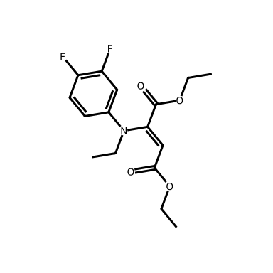 CCOC(=O)/C=C(/C(=O)OCC)N(CC)c1ccc(F)c(F)c1